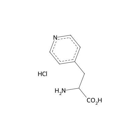 Cl.NC(Cc1ccncc1)C(=O)O